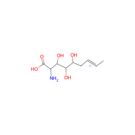 C/C=C/CC(O)C(O)C(O)C(N)C(=O)O